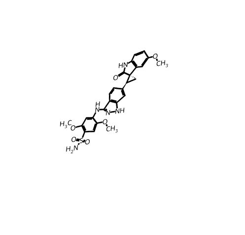 COc1ccc2c(c1)[C@]1(C[C@H]1c1ccc3c(Nc4cc(OC)c(S(N)(=O)=O)cc4OC)n[nH]c3c1)C(=O)N2